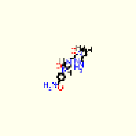 N#CC1C[C@@H]2C[C@@H]2N1C(=O)C(N)CN1C[C@@H]2C[C@H]1C(=O)N2c1ccc(C(N)=O)cc1